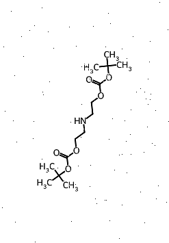 CC(C)(C)OC(=O)OCCNCCOC(=O)OC(C)(C)C